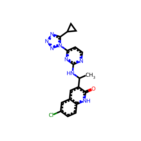 CC(Nc1nccc(-n2nnnc2C2CC2)n1)c1cc2cc(Cl)ccc2[nH]c1=O